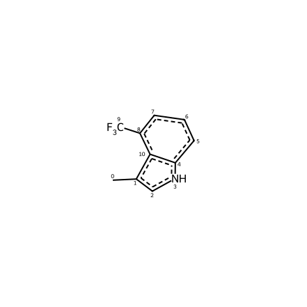 Cc1c[nH]c2cccc(C(F)(F)F)c12